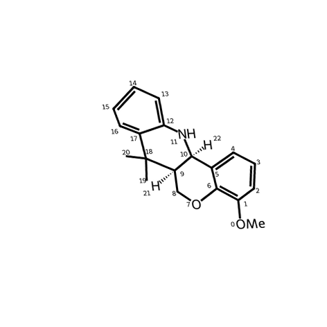 COc1cccc2c1OC[C@@H]1[C@H]2Nc2ccccc2C1(C)C